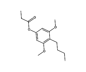 CCCCc1c(OC)cc(OC(=O)CC)cc1OC